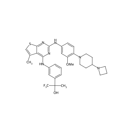 COc1cc(Nc2nc(Nc3cccc(C(C)(O)C(F)(F)F)c3)c3c(C)csc3n2)ccc1N1CCC(N2CCC2)CC1